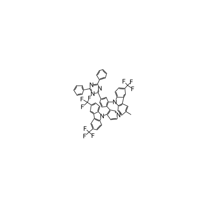 Cc1ccc2c(c1)c1cc(C(F)(F)F)ccc1n2-c1cc(-c2nc(-c3ccccc3)nc(-c3ccccc3)n2)ccc1-c1cnccc1-n1c2ccc(C(F)(F)F)cc2c2cc(C(F)(F)F)ccc21